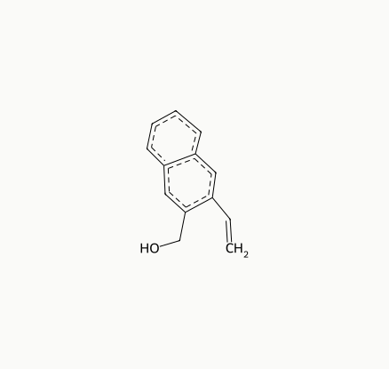 C=Cc1cc2ccccc2cc1CO